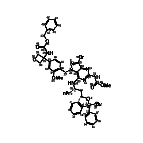 CCC[C@@H](CCO[Si](c1ccccc1)(c1ccccc1)C(C)(C)C)Nc1nc(NC(=O)OC)nc2c(Br)nn(Cc3ccc(C4(NC(=O)OCc5ccccc5)COC4)cc3OC)c12